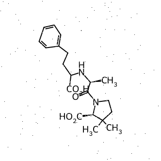 C[C@H](NC(CCc1ccccc1)C(=O)O)C(=O)N1CCC(C)(C)[C@H]1C(=O)O